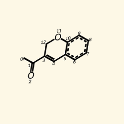 [CH2]C(=O)C1=Cc2ccccc2OC1